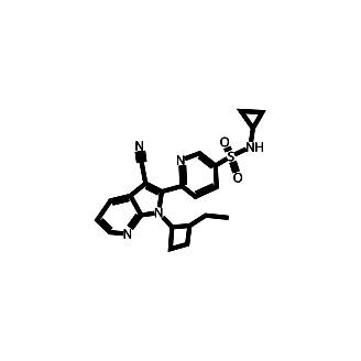 CCC1CCC1n1c(-c2ccc(S(=O)(=O)NC3CC3)cn2)c(C#N)c2cccnc21